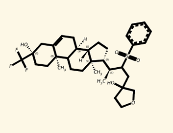 C[C@H](C(CC1(O)CCOC1)S(=O)(=O)c1ccccc1)[C@H]1CC[C@H]2[C@@H]3CC=C4C[C@](O)(C(F)(F)F)CC[C@]4(C)C3CC[C@]12C